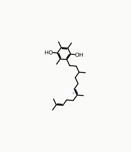 CC(C)=CCC/C(C)=C/CCC(C)CCc1c(C)c(O)c(C)c(C)c1O